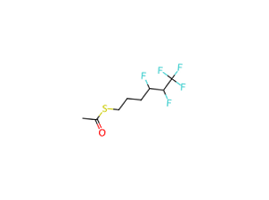 CC(=O)SCCCC(F)C(F)C(F)(F)F